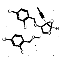 CC#C[C@]12O[C@H]1O[C@H](COCc1ccc(Cl)cc1Cl)[C@H]2OCc1ccc(Cl)cc1Cl